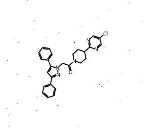 O=C(Cn1nc(-c2ccccc2)cc1-c1ccccc1)N1CCC(c2ncc(Cl)cn2)CC1